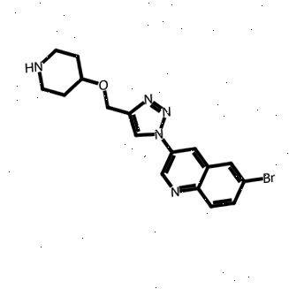 Brc1ccc2ncc(-n3cc(COC4CCNCC4)nn3)cc2c1